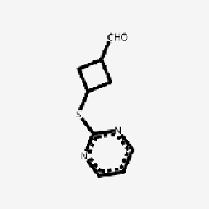 O=CC1CC(Sc2ncccn2)C1